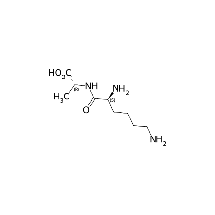 C[C@@H](NC(=O)[C@@H](N)CCCCN)C(=O)O